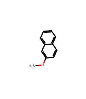 [AlH2][O]c1ccc2ccccc2c1